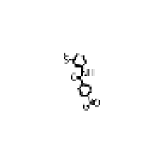 CSc1cccc(NC(=O)c2ccc([N+](=O)[O-])cc2)c1